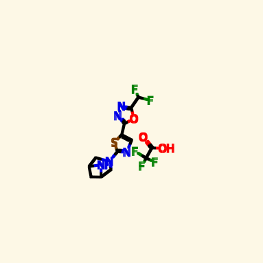 FC(F)c1nnc(-c2cnc(N3CC4CC(C3)N4)s2)o1.O=C(O)C(F)(F)F